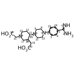 N=C(N)c1ccc(N2CCN([C@@H]3CCN(CC(=O)O)C[C@@H]3CC(=O)O)CC2)cc1